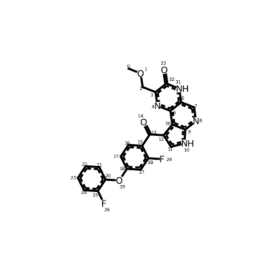 COCc1nc2c(cnc3[nH]cc(C(=O)c4ccc(Oc5ccccc5F)cc4F)c32)[nH]c1=O